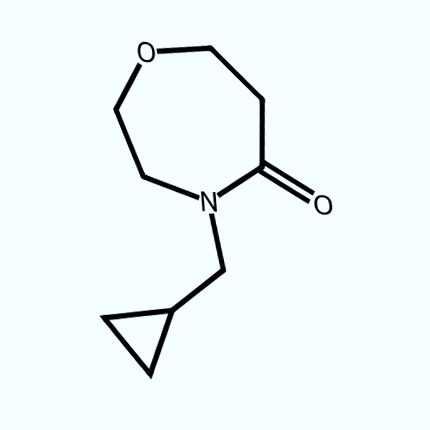 O=C1CCOCCN1CC1CC1